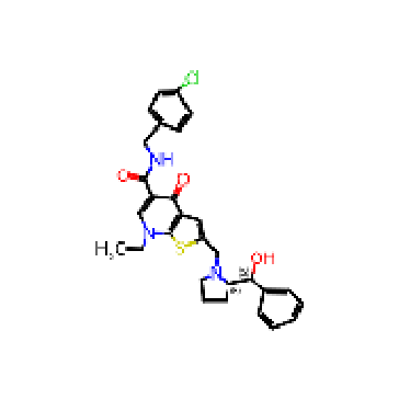 CCn1cc(C(=O)NCc2ccc(Cl)cc2)c(=O)c2cc(CN3CCC[C@@H]3[C@@H](O)c3ccccc3)sc21